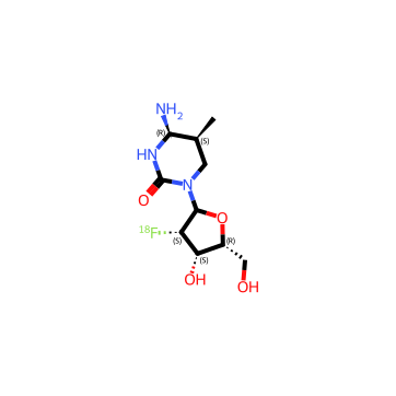 C[C@H]1CN(C2O[C@H](CO)[C@H](O)[C@@H]2[18F])C(=O)N[C@H]1N